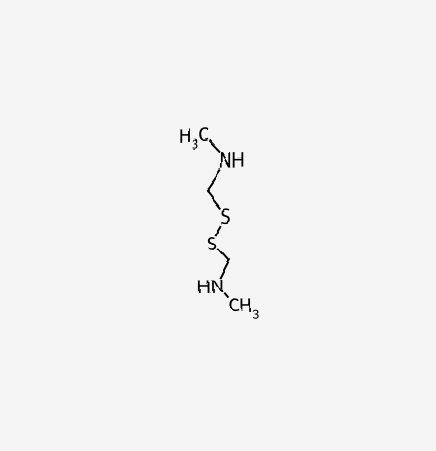 CNCSSCNC